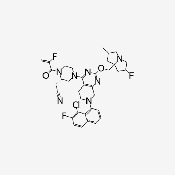 C=C(F)C(=O)N1CCN(c2nc(OCC34CC(C)CN3CC(F)C4)nc3c2CCN(c2cccc4ccc(F)c(Cl)c24)C3)C[C@@H]1CC#N